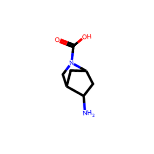 NC1CC2CC1CN2C(=O)O